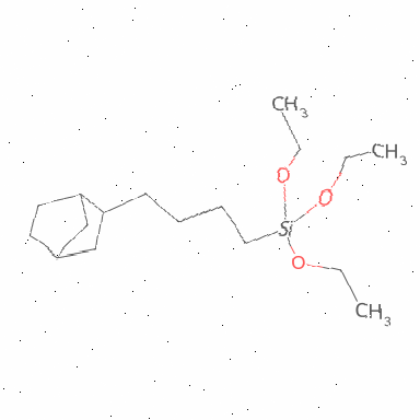 CCO[Si](CCCCC1CC2CCC1C2)(OCC)OCC